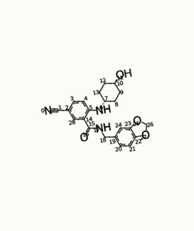 N#Cc1ccc(N[C@H]2CC[C@H](O)CC2)c(C(=O)NCc2ccc3c(c2)OCO3)c1